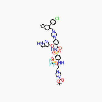 CC(C)(C)OC(=O)N1CCN(CCCNc2ccc(S(=O)(=O)NC(=O)c3ccc(N4CCN(CC5=C(c6ccc(Cl)cc6)CC6(CCC6)CC5)CC4)cc3Oc3cnc4[nH]ccc4c3)cc2S(=O)(=O)C(F)(F)F)CC1